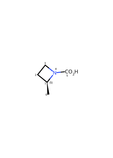 C[C@H]1CCN1C(=O)O